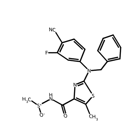 Cc1sc(N(Cc2ccccc2)c2ccc(C#N)c(F)c2)nc1C(=O)N[S+](C)[O-]